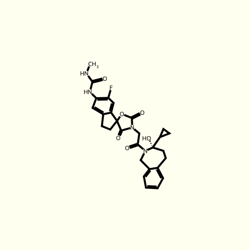 CNC(=O)Nc1cc2c(cc1F)C1(CC2)OC(=O)N(CC(=O)N2Cc3ccccc3CC[C@]2(O)C2CC2)C1=O